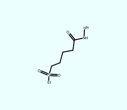 CCCNC(=O)CCCCS(=O)(=O)CC